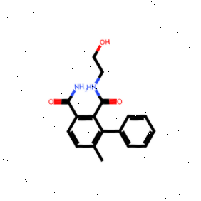 Cc1ccc(C(N)=O)c(C(=O)NCCO)c1-c1ccccc1